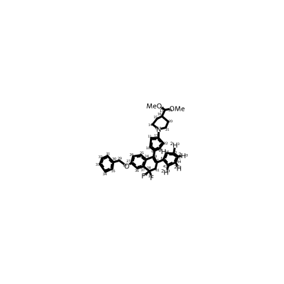 [2H]c1c([2H])c([2H])c(C2=C(c3ccc(N4CCC(C(OC)OC)CC4)cc3)c3ccc(OCc4ccccc4)cc3C(F)(F)C2)c([2H])c1[2H]